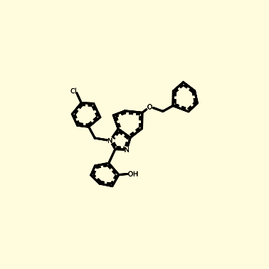 Oc1ccccc1-c1nc2cc(OCc3ccccc3)ccc2n1Cc1ccc(Cl)cc1